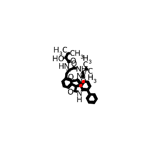 CC(C)[C@H](O)C(=O)N[C@H]1Cc2ccc3c(c2)C2(c4cccc(-c5ccccc5)c4NC2O3)c2oc(nc2C=O)[C@H](C(C)C)NC1=O